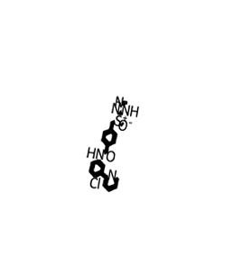 O=C(Nc1ccc(Cl)c(-c2ccccn2)c1)c1ccc(C[S+]([O-])c2nnc[nH]2)cc1